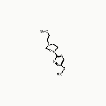 COCCN1CCN(c2ncc(OC(C)(C)C)cn2)CC1